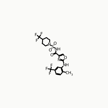 Cc1ccc(C(F)(F)F)cc1Nc1nc(C(=O)NS(=O)(=O)N2CCC(C(F)(F)F)CC2)co1